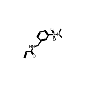 C=CC(=O)NCc1cccc(S(=O)(=O)N(C)C)c1